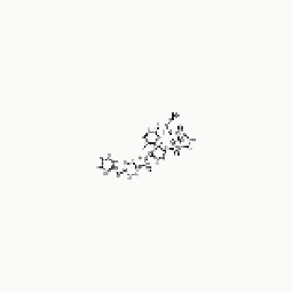 Cc1ccc(CC(C#N)NC(=O)C2(OC(=O)c3ccc(NC(=O)N4CCN(Cc5ccccc5)CC4)cc3)CCCC2)cc1